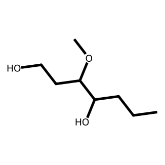 CCCC(O)C(CCO)OC